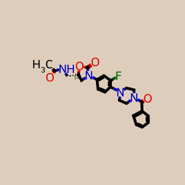 CC(=O)NC[C@H]1CN(c2ccc(N3CCN(C(=O)c4ccccc4)CC3)c(F)c2)C(=O)O1